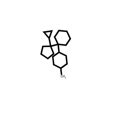 CC1CC[C](C2(C3(C4CC4)CCCC3)CCCCC2)CC1